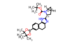 CC(C)(C)OC(=O)N1[C@@H]2C[C@@H]2C[C@H]1c1nc2c([nH]1)-c1ccc(B3OC(C)(C)C(C)(C)O3)cc1CC2